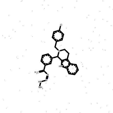 C=C(/N=N\NN)c1cccc(C2c3[nH]c4ccccc4c3CCN2Cc2ccc(Cl)cc2)c1